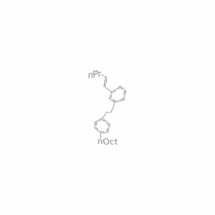 CCC/C=C/c1cccc(CCc2ccc(CCCCCCCC)cc2)c1